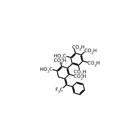 O=C(O)C1=C(C(=O)O)C(c2c(C(=O)O)c(C(=O)O)c(C(=O)O)c(C(=O)O)c2C(=O)O)=C(C(=O)O)C(=C(c2ccccc2)C(F)(F)F)C1